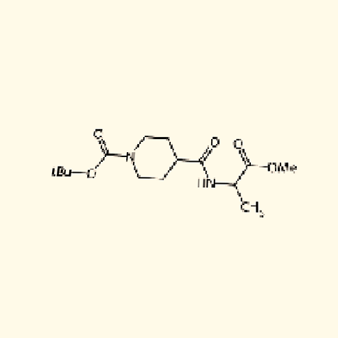 COC(=O)C(C)NC(=O)C1CCN(C(=O)OC(C)(C)C)CC1